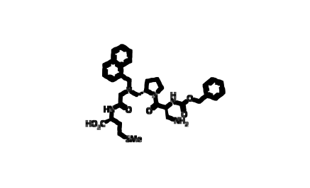 CSCC[C@H](NC(=O)CN(Cc1cccc2ccccc12)C[C@@H]1CCCN1C(=O)[C@H](CN)NC(=O)OCc1ccccc1)C(=O)O